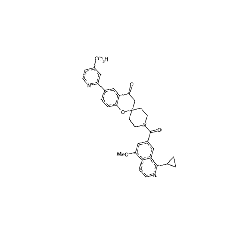 COc1cc(C(=O)N2CCC3(CC2)CC(=O)c2cc(-c4cc(C(=O)O)ccn4)ccc2O3)cc2c(C3CC3)nccc12